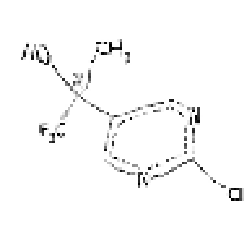 C[C@](O)(c1cnc(Cl)nc1)C(F)(F)F